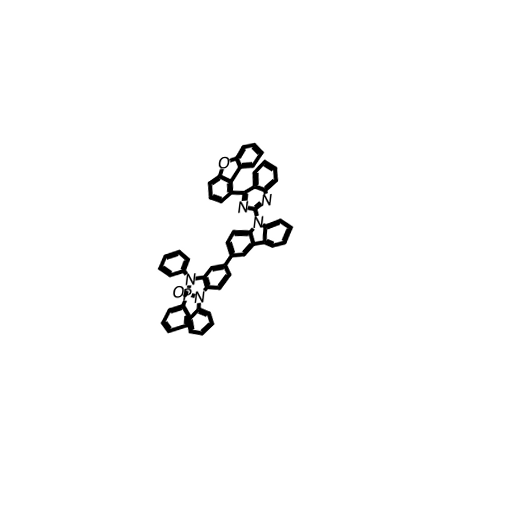 O=P1(c2ccccc2)N(c2ccccc2)c2ccc(-c3ccc4c(c3)c3ccccc3n4-c3nc(-c4cccc5oc6ccccc6c45)c4ccccc4n3)cc2N1c1ccccc1